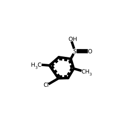 Cc1cc(S(=O)O)c(C)cc1Cl